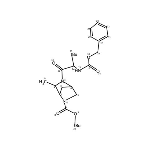 CC1C2CC(CN2C(=O)OC(C)(C)C)N1C(=O)C(NC(=O)OCc1ccccc1)C(C)(C)C